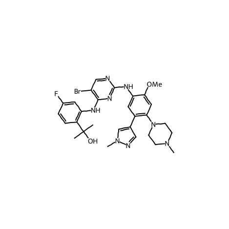 COc1cc(N2CCN(C)CC2)c(-c2cnn(C)c2)cc1Nc1ncc(Br)c(Nc2cc(F)ccc2C(C)(C)O)n1